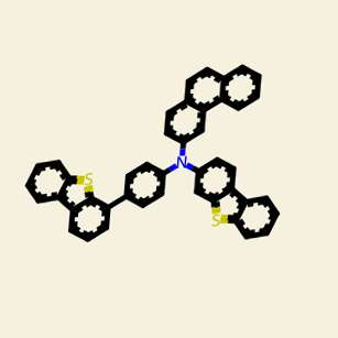 c1ccc2c(c1)ccc1ccc(N(c3ccc(-c4cccc5c4sc4ccccc45)cc3)c3ccc4c(c3)sc3ccccc34)cc12